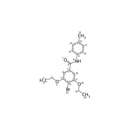 CCOc1cc(C(=O)Nc2ccc(C)cc2)cc(OCC)c1Br